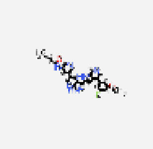 CCCCC(=O)Nc1cncc(-c2cnc3[nH]nc(-c4cc5c(-c6cc(F)cc(OC)c6)cncc5[nH]4)c3c2)c1